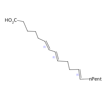 CCCCC/C=C/CC/C=C/C=C/CCCCC(=O)O